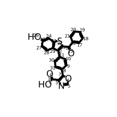 O=C(O)c1ncoc1-c1ccc(-c2c(C(=O)c3ccccc3)sc3cc(O)ccc23)cc1